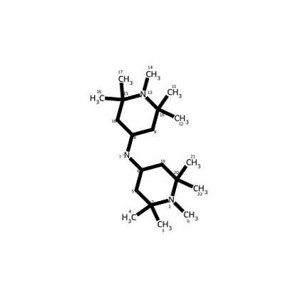 CN1C(C)(C)CC([N]C2CC(C)(C)N(C)C(C)(C)C2)CC1(C)C